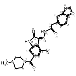 CN1CCN(C(=O)c2cc(Br)c3c(c2)NC(=O)/C3=N\NC(=O)Cc2ccc3ocnc3c2)CC1